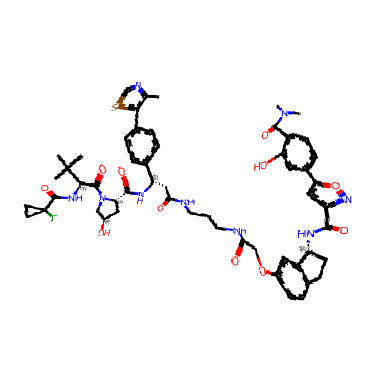 Cc1ncsc1-c1ccc([C@H](CC(=O)NCCCNC(=O)COc2ccc3c(c2)[C@H](NC(=O)c2cc(-c4ccc(C(=O)N(C)C)c(O)c4)on2)CC3)NC(=O)[C@@H]2C[C@@H](O)CN2C(=O)[C@@H](NC(=O)C2(F)CC2)C(C)(C)C)cc1